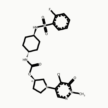 Cn1ncc(N2CC[C@@H](OC(=O)N[C@H]3CC[C@H](NS(=O)(=O)c4ccccc4F)CC3)C2)c(Cl)c1=O